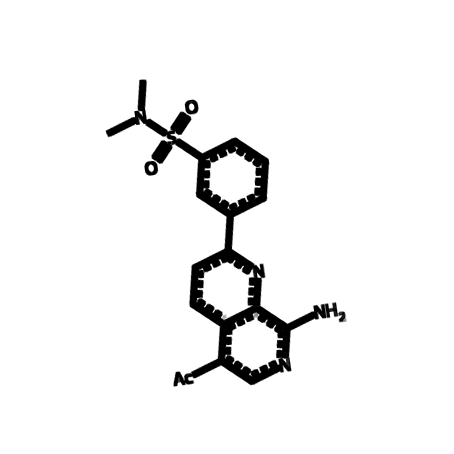 CC(=O)c1cnc(N)c2nc(-c3cccc(S(=O)(=O)N(C)C)c3)ccc12